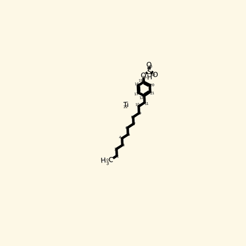 CCCCCCCCCCCCc1ccc(O[SH](=O)=O)cc1.[Ti]